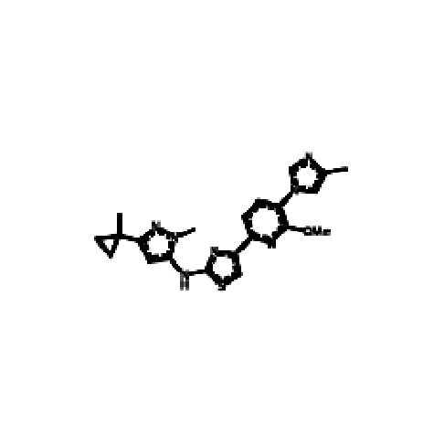 COc1nc(-c2csc(Nc3cc(C4(C)CC4)nn3C)n2)ccc1-n1cnc(C)c1